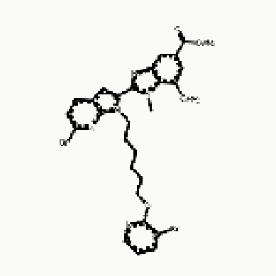 COC(=O)c1cc(OC)c2c(c1)nc(-c1cc3ccc(Br)nc3n1CCCCCCOc1ncccc1Br)n2C